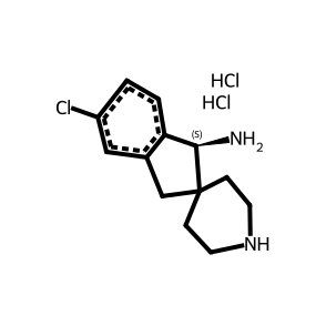 Cl.Cl.N[C@@H]1c2ccc(Cl)cc2CC12CCNCC2